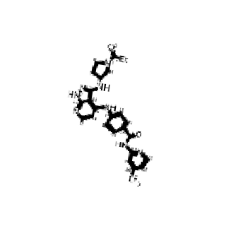 CCC(=O)N1CC[C@@H](Nc2n[nH]c3nccc(Nc4ccc(C(=O)Nc5cc(C(F)(F)F)ccn5)cc4)c23)C1